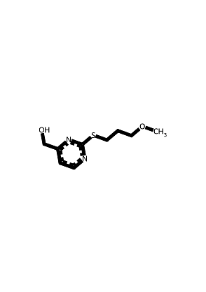 COCCCSc1nccc(CO)n1